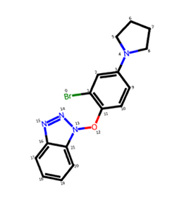 Brc1cc(N2CCCC2)ccc1On1nnc2ccccc21